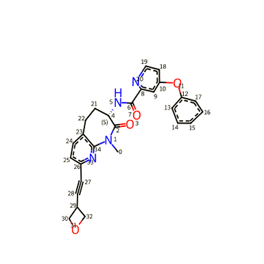 CN1C(=O)[C@@H](NC(=O)c2cc(Oc3ccccc3)ccn2)CCc2ccc(C#CC3COC3)nc21